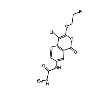 CC(C)(C)NC(=O)Nc1ccc2c(Cl)c(OCCBr)oc(=O)c2c1